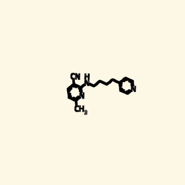 Cc1ccc(C#N)c(NCCCCc2ccncc2)n1